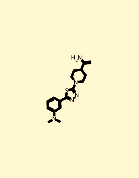 C=C(N)C1CCN(c2nnc(-c3cccc(N(C)C)c3)s2)CC1